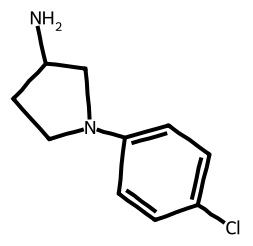 NC1CCN(c2ccc(Cl)cc2)C1